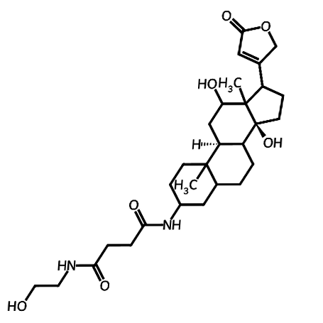 CC12CCC(NC(=O)CCC(=O)NCCO)CC1CCC1[C@@H]2CC(O)C2(C)C(C3=CC(=O)OC3)CC[C@]12O